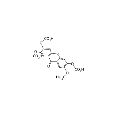 O=C(O)Oc1cc2sc3cc(OC(=O)O)c(OC(=O)O)cc3c(=O)c2cc1OC(=O)O